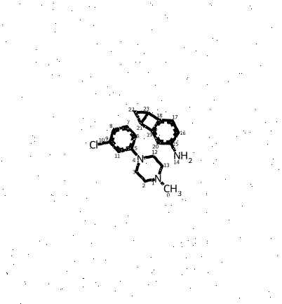 CN1CCN(c2cccc(Cl)c2)CC1.Nc1ccc2c(c1)C1CC21